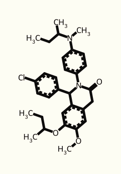 CCC(C)Oc1cc2c(cc1OC)CC(=O)N(c1ccc(N(C)C(C)CC)cc1)C2c1ccc(Cl)cc1